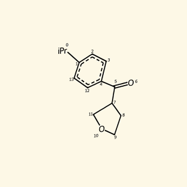 CC(C)c1ccc(C(=O)C2CCOC2)cc1